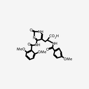 COc1ccc(C(=O)NC(Cc2c[nH]c(=O)nc2NC(=O)c2c(OC)cccc2OC)C(=O)O)cc1